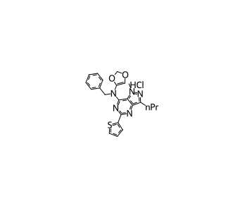 CCCc1nn(C)c2c(N(Cc3ccccc3)C3=COCO3)nc(-c3cccs3)nc12.Cl